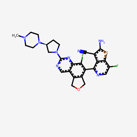 CN1CCN([C@H]2CCN(c3ncc4c5c(c(-c6ncc(F)c7sc(N)c(C#N)c67)c(F)c4n3)COC5)C2)CC1